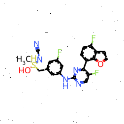 C[SH](O)(Cc1cc(F)cc(Nc2ncc(F)c(-c3ccc(F)c4ccoc34)n2)c1)=NC#N